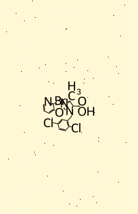 CC1=NC(Oc2cccnc2Br)N(Cc2cc(Cl)ccc2Cl)C1C(=O)O